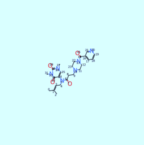 CC(C)=CCN(C(=O)CCN1CCN(C(=O)c2cccnc2)CC1)c1cn(C)c(=O)n(C)c1=O